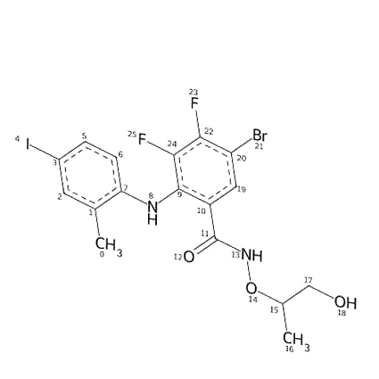 Cc1cc(I)ccc1Nc1c(C(=O)NOC(C)CO)cc(Br)c(F)c1F